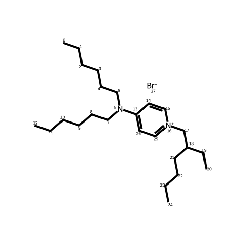 CCCCCCN(CCCCCC)c1cc[n+](CC(CC)CCCC)cc1.[Br-]